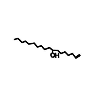 C=CCCCCCC(O)CCCCCCCCCC